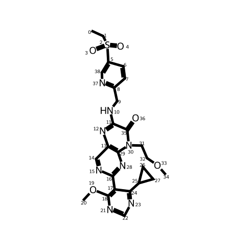 CCS(=O)(=O)c1ccc(CNc2nc3cnc(-c4c(OC)ncnc4C4CC4)nc3n(CCOC)c2=O)nc1